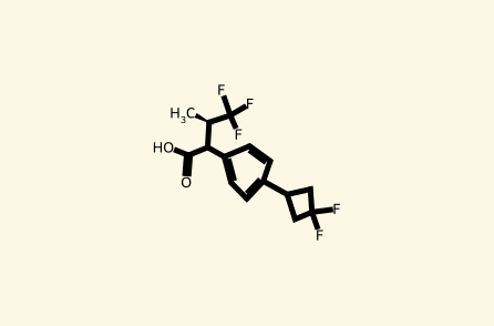 C[C@H](C(C(=O)O)c1ccc(C2CC(F)(F)C2)cc1)C(F)(F)F